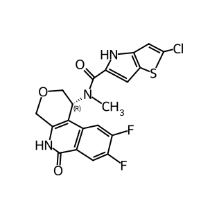 CN(C(=O)c1cc2sc(Cl)cc2[nH]1)[C@H]1COCc2[nH]c(=O)c3cc(F)c(F)cc3c21